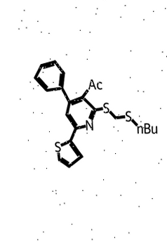 CCCCSCSc1nc(-c2cccs2)cc(-c2ccccc2)c1C(C)=O